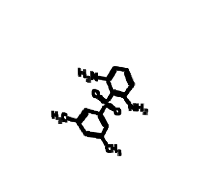 Cc1cc(C)cc(S(=O)(=O)c2c(N)cccc2N)c1